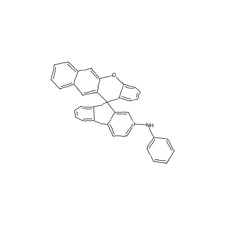 c1ccc(Nc2ccc3c(c2)C2(c4ccccc4Oc4cc5ccccc5cc42)c2ccccc2-3)cc1